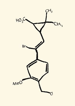 COc1cc(C(Br)=CC2C(C(=O)O)C2(C)C)ccc1CCl